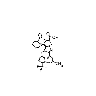 Cc1cccc(-c2nc3nc(C(=O)O)nc(N4CCCCC4C4CCC4)c3n2Cc2ccc(C(F)(F)F)cc2)c1